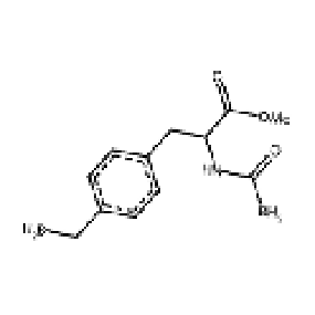 BCc1ccc(CC(NC(B)=O)C(=O)OC)cc1